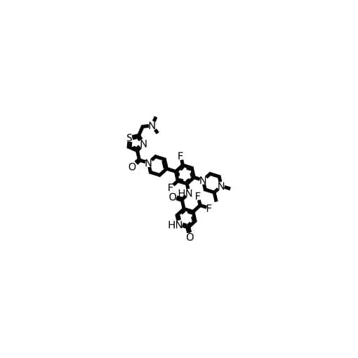 CC1CN(c2cc(F)c(C3=CCN(C(=O)c4csc(CN(C)C)n4)CC3)c(F)c2NC(=O)c2c[nH]c(=O)cc2C(F)F)CCN1C